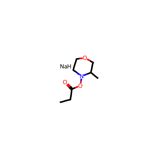 CCC(=O)ON1CCOCC1C.[NaH]